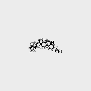 CCOC[C@H]1CC[C@]2(C)C3CC[C@@]4(C)C(CCC4[C@H](C)Cn4nccc4C#N)[C@@H]3CC[C@@H]2C1